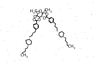 CCCCC[C@H]1CC[C@H](CCCCc2ccc(C(=O)O[C@@H](C(=O)OC)[C@@H](OC(=O)c3ccc(CCCC[C@H]4CC[C@H](CCCCC)CC4)cc3)C(=O)OC)cc2)CC1